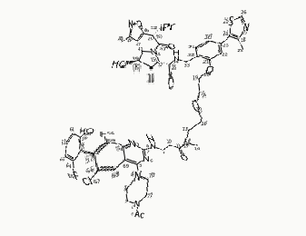 CC(=O)N1CCN(c2nc(NCCC(=O)N(C)CCOCCOc3cc(-c4scnc4C)ccc3CNC(=O)[C@@H]3C[C@@H](O)CN3C(=O)[C@H](c3cc(C)no3)C(C)C)nc3c(F)c(-c4c(O)cccc4F)c(Cl)cc23)CC1